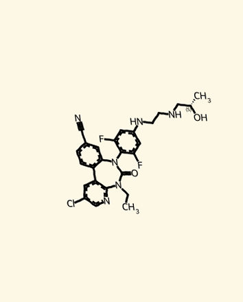 CCN1C(=O)N(c2c(F)cc(NCCNC[C@H](C)O)cc2F)c2cc(C#N)ccc2-c2cc(Cl)cnc21